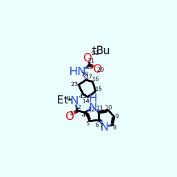 CCN(C(=O)c1cc2ncccc2[nH]1)[C@H]1CCC[C@@H](NC(=O)OC(C)(C)C)C1